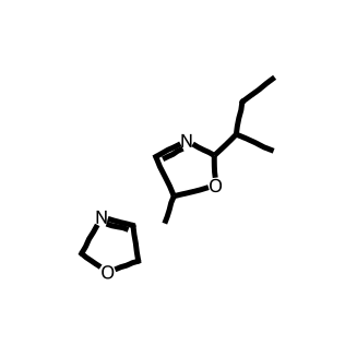 C1=NCOC1.CCC(C)C1N=CC(C)O1